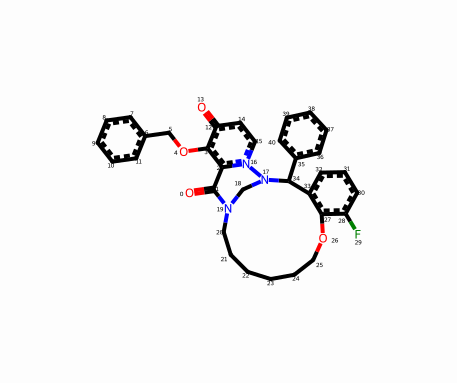 O=C1c2c(OCc3ccccc3)c(=O)ccn2N2CN1CCCCCCOc1c(F)cccc1C2c1ccccc1